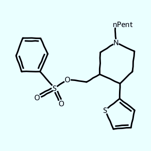 CCCCCN1CCC(c2cccs2)C(COS(=O)(=O)c2ccccc2)C1